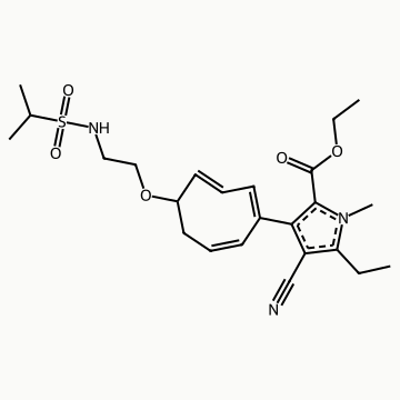 CCOC(=O)c1c(C2=C/C=C/C(OCCNS(=O)(=O)C(C)C)C/C=C\2)c(C#N)c(CC)n1C